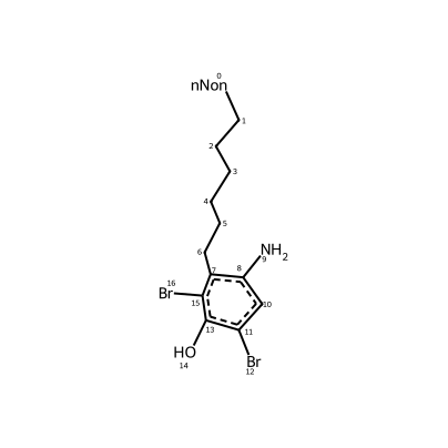 CCCCCCCCCCCCCCCc1c(N)cc(Br)c(O)c1Br